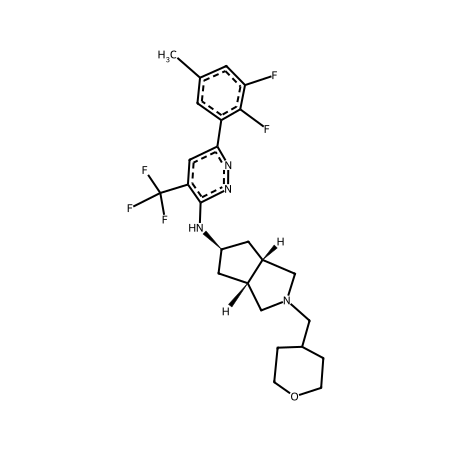 Cc1cc(F)c(F)c(-c2cc(C(F)(F)F)c(N[C@H]3C[C@@H]4CN(CC5CCOCC5)C[C@@H]4C3)nn2)c1